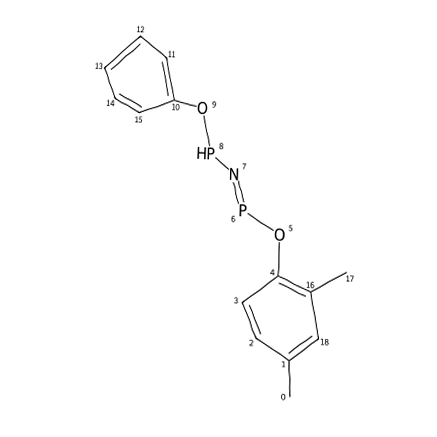 Cc1ccc(OP=NPOc2ccccc2)c(C)c1